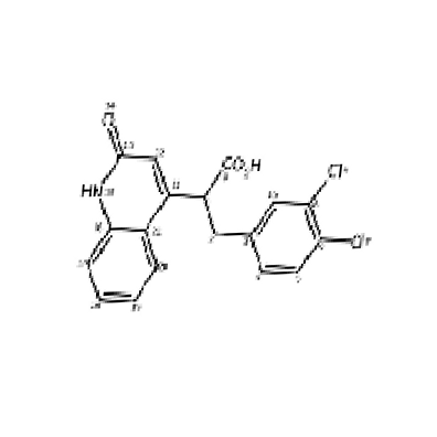 O=C(O)C(Cc1ccc(Cl)c(Cl)c1)c1cc(=O)[nH]c2ccccc12